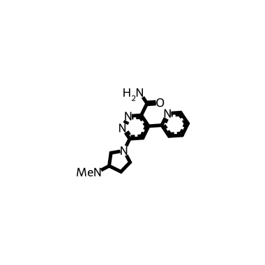 CNC1CCN(c2cc(-c3ccccn3)c(C(N)=O)nn2)C1